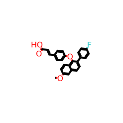 COc1ccc2c(Oc3ccc(C=CC(=O)O)cc3)c(-c3ccc(F)cc3)ccc2c1